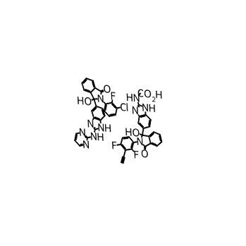 C#Cc1c(F)ccc(N2C(=O)c3ccccc3C2(O)c2ccc3[nH]c(NC(=O)O)nc3c2)c1F.O=C1c2ccccc2C(O)(c2ccc3[nH]c(Nc4ncccn4)nc3c2)N1c1cccc(Cl)c1F